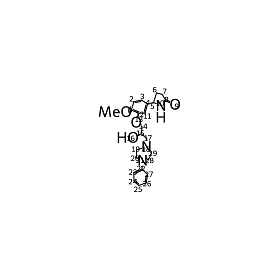 COc1ccc(C2CCC(=O)N2)cc1OCC(O)CN1CCN(c2ccccc2)CC1